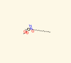 CCCCCCCCCCCCCCCC(=O)Nc1ccc(C(C)C(=O)OCC)cc1